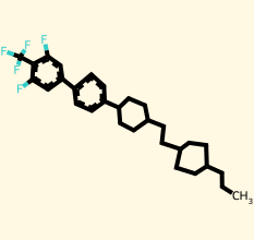 CCCC1CCC(CCC2CCC(c3ccc(-c4cc(F)c(C(F)(F)F)c(F)c4)cc3)CC2)CC1